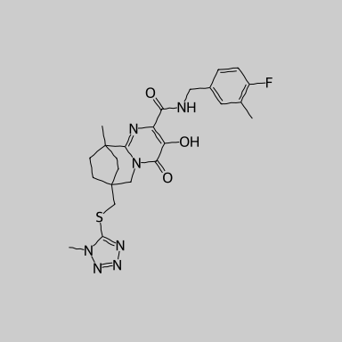 Cc1cc(CNC(=O)c2nc3n(c(=O)c2O)CC2(CSc4nnnn4C)CCC3(C)CC2)ccc1F